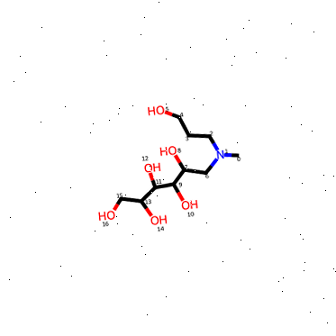 CN(CCCO)CC(O)C(O)C(O)C(O)CO